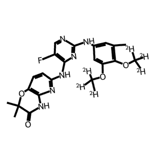 [2H]C([2H])([2H])Oc1cc(Nc2ncc(F)c(Nc3ccc4c(n3)NC(=O)C(C)(C)O4)n2)cc(C)c1OC([2H])([2H])[2H]